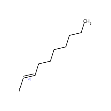 CCCCCCC/C=C/I